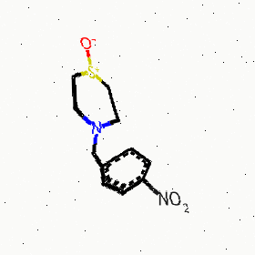 O=[N+]([O-])c1ccc(CN2CC[S+]([O-])CC2)cc1